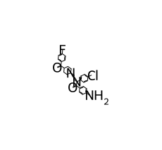 Nc1ccc(C(=O)N(CCN2CCC(C(=O)c3ccc(F)cc3)CC2)c2ccc(Cl)cc2)cc1